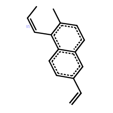 C=Cc1ccc2c(/C=C\C)c(C)ccc2c1